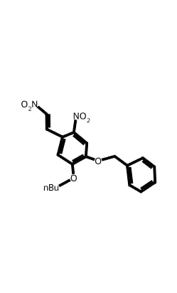 CCCCOc1cc(C=C[N+](=O)[O-])c([N+](=O)[O-])cc1OCc1ccccc1